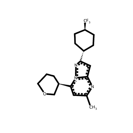 Cc1cc([C@@H]2CCCOC2)n2nc([C@H]3CC[C@H](C(F)(F)F)CC3)cc2n1